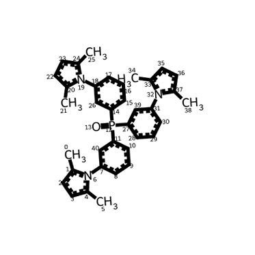 Cc1ccc(C)n1-c1cccc(P(=O)(c2cccc(-n3c(C)ccc3C)c2)c2cccc(-n3c(C)ccc3C)c2)c1